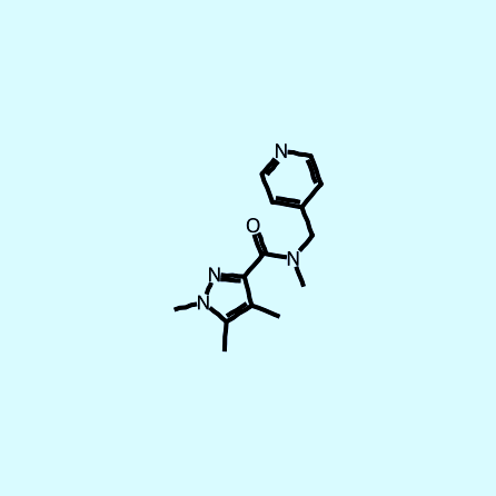 Cc1c(C(=O)N(C)Cc2ccncc2)nn(C)c1C